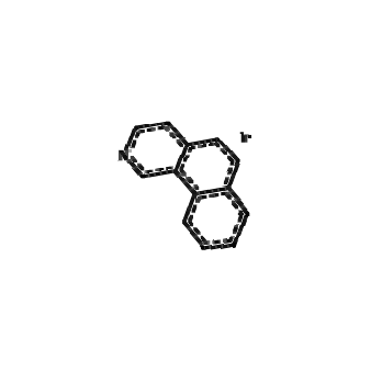 [Ir].c1ccc2c(c1)ccc1ccncc12